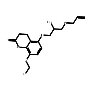 C=CCNCC(O)COc1ccc(OCC(C)=O)c2c1CCC(=O)N2